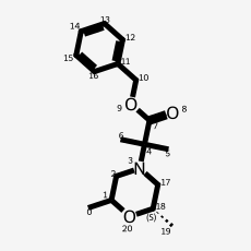 CC1CN(C(C)(C)C(=O)OCc2ccccc2)C[C@H](C)O1